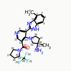 Cc1cccc2[nH]c(-c3cncc(C(=O)N4CCC[C@H]4C(F)(F)F)c3N3CC[C@](C)(N)C3)nc12